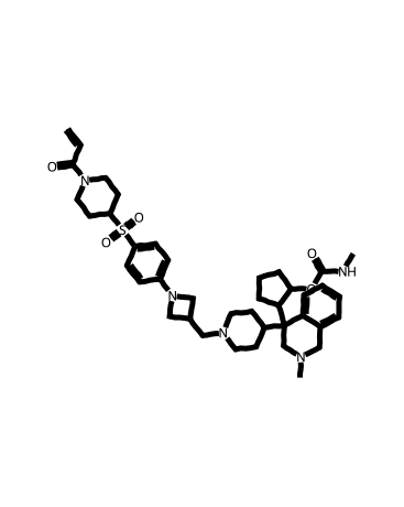 C=CC(=O)N1CCC(S(=O)(=O)c2ccc(N3CC(CN4CCC(C5(C6CCCC6OC(=O)NC)CN(C)Cc6ccccc65)CC4)C3)cc2)CC1